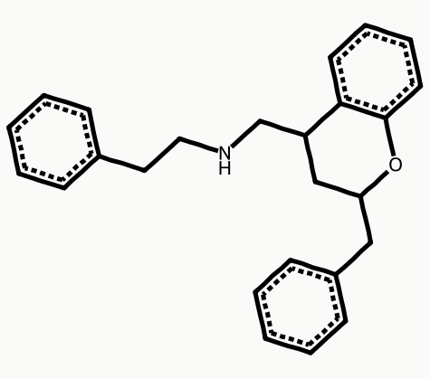 c1ccc(CCNCC2CC(Cc3ccccc3)Oc3ccccc32)cc1